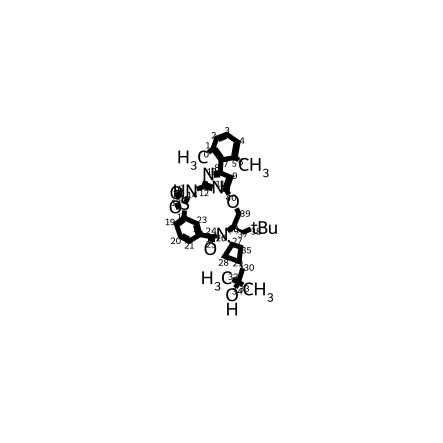 Cc1cccc(C)c1-c1cc2nc(n1)NS(=O)(=O)c1cccc(c1)C(=O)N([C@H]1C[C@@H](CC(C)(C)O)C1)[C@H](CC(C)(C)C)CO2